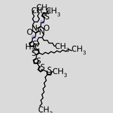 CCCCCCCCCCCCc1cc(C)sc1-c1ccc(-c2ccc(-c3sc(-c4ccc(/C=C/C5=C6C(=C(/C=C/c7ccc(C)s7)C(=O)N6CC(CCCC)CCCCCC)N(CC(CCCC)CCCCCC)C5=O)s4)cc3CCCCCCCCCCCC)s2)s1